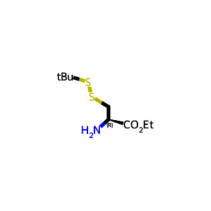 CCOC(=O)[C@@H](N)CSSC(C)(C)C